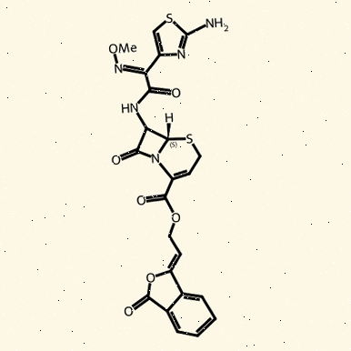 CON=C(C(=O)NC1C(=O)N2C(C(=O)OCC=C3OC(=O)c4ccccc43)=CCS[C@@H]12)c1csc(N)n1